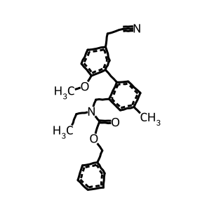 CCN(Cc1cc(C)ccc1-c1cc(CC#N)ccc1OC)C(=O)OCc1ccccc1